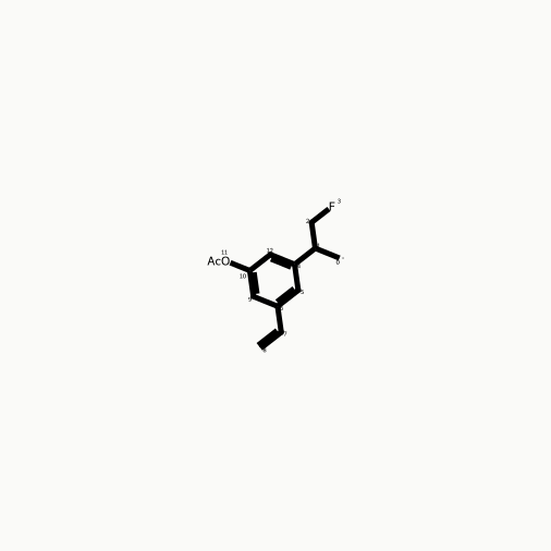 [CH2]C(CF)c1cc(C=C)cc(OC(C)=O)c1